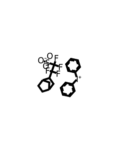 O=S(=O)([O-])C(F)(F)C(F)(F)C1CC2CCC1C2.c1ccc([I+]c2ccccc2)cc1